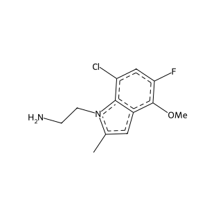 COc1c(F)cc(Cl)c2c1cc(C)n2CCN